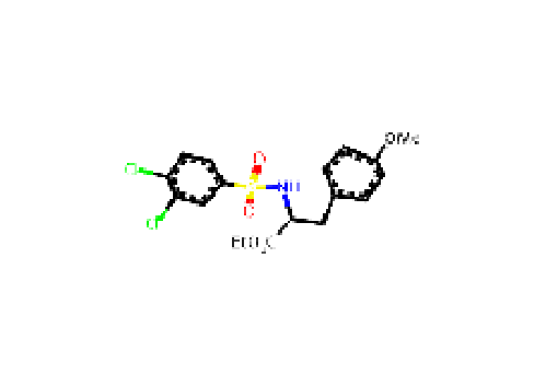 CCOC(=O)[C@H](Cc1ccc(OC)cc1)NS(=O)(=O)c1ccc(Cl)c(Cl)c1